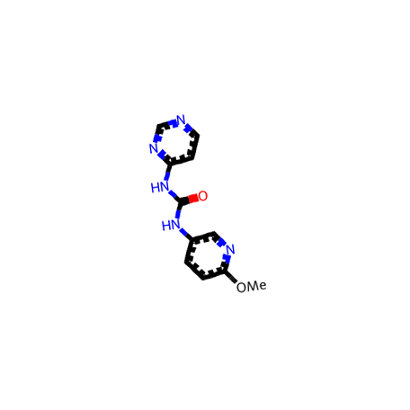 COc1ccc(NC(=O)Nc2ccncn2)cn1